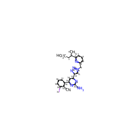 CC(CC(=O)O)c1cccc(Cn2cc(-c3cc(-c4cccc(I)c4C#N)nc(N)n3)nn2)n1